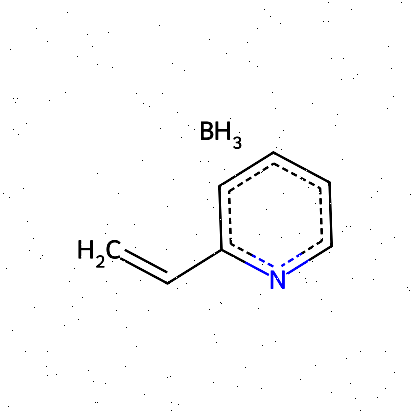 B.C=Cc1ccccn1